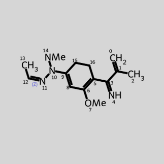 C=C(C)C(=N)C1=C(OC)C=C(N(/N=C\C)NC)CC1